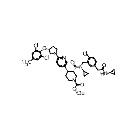 Cc1cc(Cl)c(O[C@H]2CCN(c3ccc([C@@H]4CCN(C(=O)OC(C)(C)C)C[C@H]4C(=O)N(Cc4cc(CC(=O)NC5CC5)ccc4Cl)C4CC4)cn3)C2)c(Cl)c1